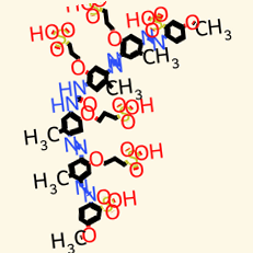 COc1ccc(N=Nc2cc(OCCCS(=O)(=O)O)c(N=Nc3cc(OCCCS(=O)(=O)O)c(NC(=O)Nc4cc(C)c(N=Nc5cc(C)c(N=Nc6ccc(OC)cc6S(=O)(=O)O)cc5OCCCS(=O)(=O)O)cc4OCCCS(=O)(=O)O)cc3C)cc2C)c(S(=O)(=O)O)c1